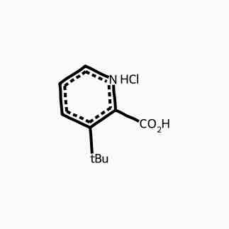 CC(C)(C)c1cccnc1C(=O)O.Cl